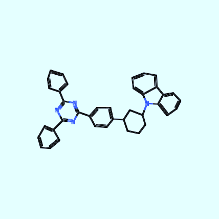 c1ccc(-c2nc(-c3ccccc3)nc(-c3ccc(C4CCCC(n5c6ccccc6c6ccccc65)C4)cc3)n2)cc1